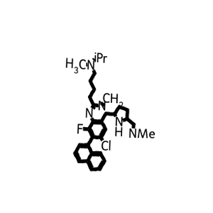 C=N/C(CCCCN(C)C(C)C)=N\c1c(CC2CCC(CNC)N2)cc(Cl)c(-c2cccc3ccccc23)c1F